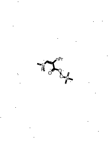 CCCC(=C[SiH](C)C)C(=O)OO[Si](C)(C)C